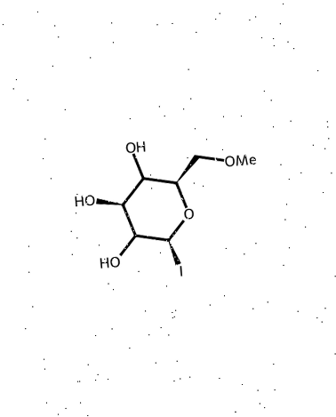 COC[C@H]1O[C@@H](I)C(O)[C@@H](O)C1O